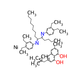 CCCCCCCCC(=Nc1ccc(CC)c(CC)c1)C(CCCC)=Nc1ccc(CC)c(CC)c1.Cc1cc(O)c2c(O)cc(C[Si](C)(C)C)cc2c1.[Ni]